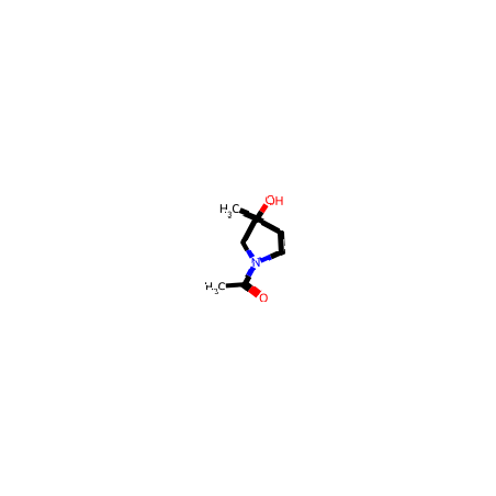 CC(=O)N1CCC(C)(O)C1